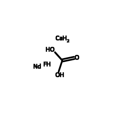 F.O=C(O)O.[CaH2].[Nd]